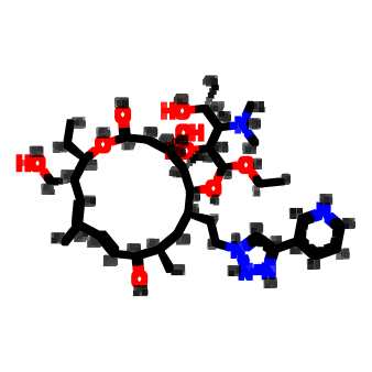 CCO[C@@H](O[C@H]1[C@@H](CCn2cc(-c3cccnc3)nn2)C[C@@H](C)C(=O)/C=C/C(C)=C/[C@H](CO)[C@@H](CC)OC(=O)C[C@@H](O)[C@@H]1C)C(O)C([C@@H](C)O)N(C)C